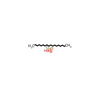 CCCCCCCCCCCCCCCCCC.O=S(=O)(O)Cl